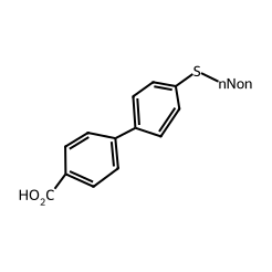 CCCCCCCCCSc1ccc(-c2ccc(C(=O)O)cc2)cc1